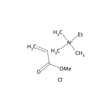 C=CC(=O)OC.CC[N+](C)(C)C.[Cl-]